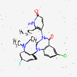 Cc1[nH]c(=O)ccc1N1CN(c2ccc(F)cc2N(C)C)c2ccc(Cl)cc2C1=O